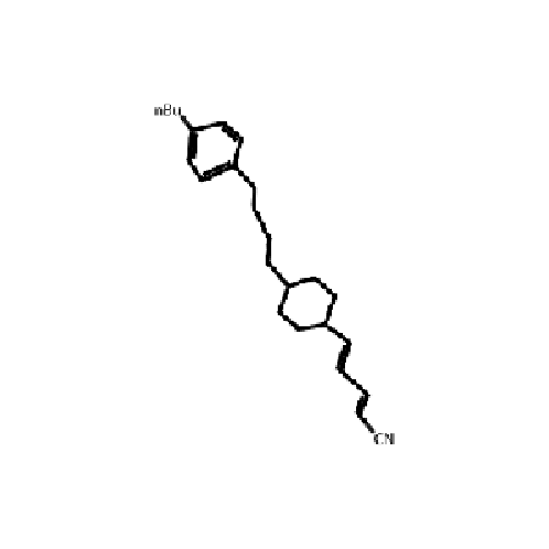 CCCCc1ccc(CCCCC2CCC(C=CC=CC#N)CC2)cc1